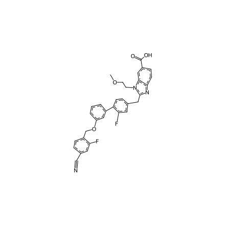 COCCn1c(Cc2ccc(-c3cccc(OCc4ccc(C#N)cc4F)c3)c(F)c2)nc2ccc(C(=O)O)cc21